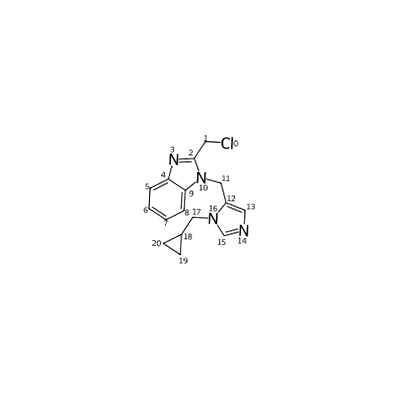 ClCc1nc2ccccc2n1Cc1cncn1CC1CC1